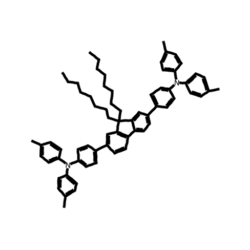 CCCCCCCCC1(CCCCCCCC)c2cc(-c3ccc(N(c4ccc(C)cc4)c4ccc(C)cc4)cc3)ccc2-c2ccc(-c3ccc(N(c4ccc(C)cc4)c4ccc(C)cc4)cc3)cc21